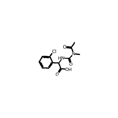 CC(=O)N(C)C(=O)NC(C(=O)O)c1ccccc1Cl